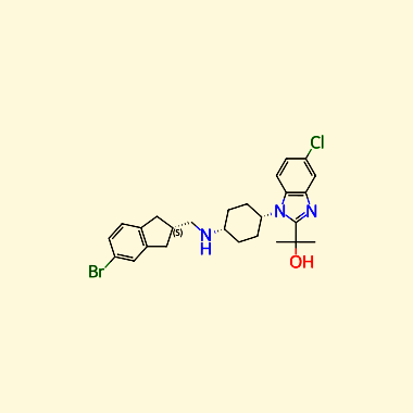 CC(C)(O)c1nc2cc(Cl)ccc2n1[C@H]1CC[C@@H](NC[C@H]2Cc3ccc(Br)cc3C2)CC1